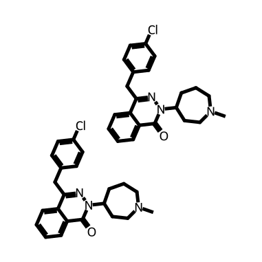 CN1CCCC(n2nc(Cc3ccc(Cl)cc3)c3ccccc3c2=O)CC1.CN1CCCC(n2nc(Cc3ccc(Cl)cc3)c3ccccc3c2=O)CC1